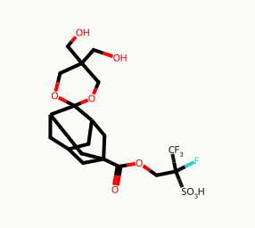 O=C(OCC(F)(C(F)(F)F)S(=O)(=O)O)C12CC3CC(C1)C1(OCC(CO)(CO)CO1)C(C3)C2